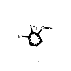 COc1cccc(Br)c1N